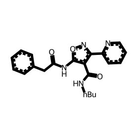 CCCCNC(=O)c1c(-c2ccccn2)noc1NC(=O)Cc1ccccc1